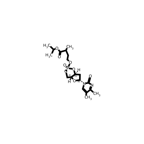 Cc1cn([C@H]2C[C@@H]3OP(=O)(OCCC(C)C(=O)OC(C)C)OC[C@H]3O2)c(=O)nc1C